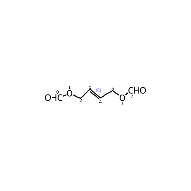 O=COC/C=C/COC=O